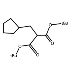 CC(C)(C)OC(=O)C(CC1CCCC1)C(=O)OC(C)(C)C